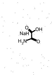 NC(=O)C(=O)O.[NaH]